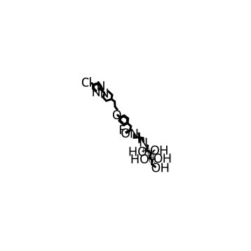 O=C(Cc1ccc(OCCCC2CCN(c3ncc(Cl)cn3)CC2)cc1F)N1CC2(CN(C[C@H](O)[C@@H](O)[C@H](O)[C@H](O)CO)C2)C1